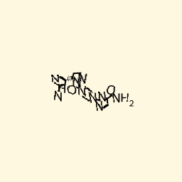 N#Cc1cncc([C@@H]2CC=NN2C(O)N2CCN(c3nccc(C(N)=O)n3)CC2)c1